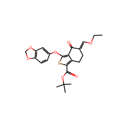 CCOC=C1CCc2c(C(=O)OC(C)(C)C)sc(Oc3ccc4c(c3)OCO4)c2C1=O